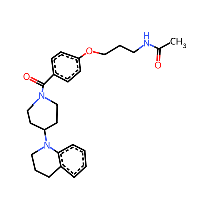 CC(=O)NCCCOc1ccc(C(=O)N2CCC(N3CCCc4ccccc43)CC2)cc1